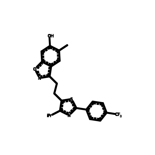 Cc1cc2c(CCc3sc(-c4ccc(C(F)(F)F)cc4)nc3C(C)C)noc2cc1O